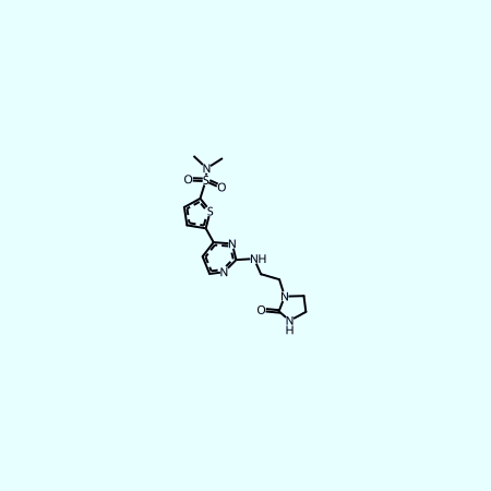 CN(C)S(=O)(=O)c1ccc(-c2ccnc(NCCN3CCNC3=O)n2)s1